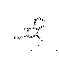 O=C(O)c1cc(=O)c2cccnc2[nH]1